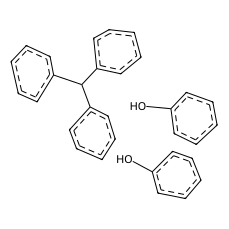 Oc1ccccc1.Oc1ccccc1.c1ccc(C(c2ccccc2)c2ccccc2)cc1